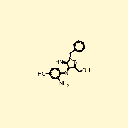 N=C1C(=Nc2ccc(O)cc2N)C(CO)=NN1Cc1ccccc1